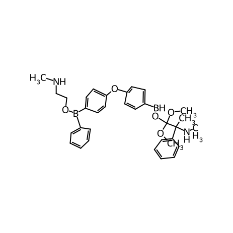 CNCCOB(c1ccccc1)c1ccc(Oc2ccc(BOC(OC)(OC)C(C)(NC)c3ccccc3)cc2)cc1